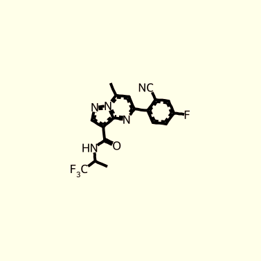 Cc1cc(-c2ccc(F)cc2C#N)nc2c(C(=O)NC(C)C(F)(F)F)cnn12